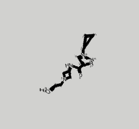 O=C(NC1CN(CCO)C1)c1cn(C2CC2)nn1